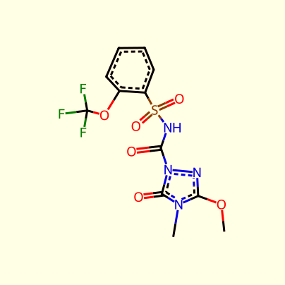 COc1nn(C(=O)NS(=O)(=O)c2ccccc2OC(F)(F)F)c(=O)n1C